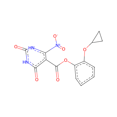 O=C(Oc1ccccc1OC1CC1)c1c([N+](=O)[O-])[nH]c(=O)[nH]c1=O